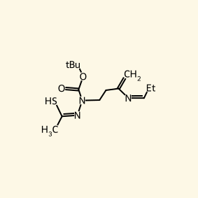 C=C(CCN(/N=C(/C)S)C(=O)OC(C)(C)C)/N=C\CC